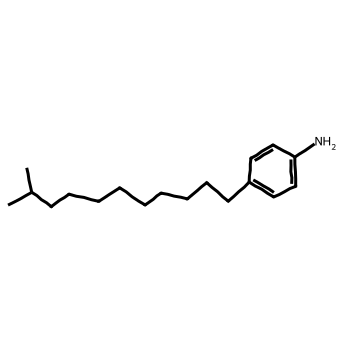 CC(C)CCCCCCCCCc1ccc(N)cc1